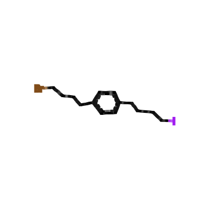 BrCCCCc1ccc(CCCCI)cc1